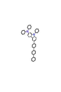 C1=C(c2ccc(-c3ccc(-c4ccccc4)cc3)cc2)C=C2C3CC=C(N(c4ccccc4)c4ccccc4)C=C3N(c3ccccc3)C2C1